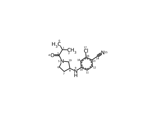 CC(C)C(=O)N1CCC(Nc2ccc(C#N)c(Cl)c2)C1